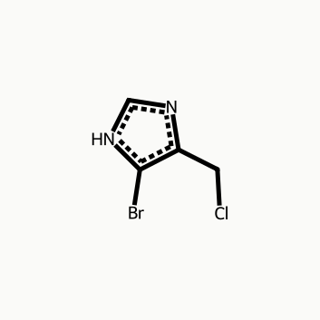 ClCc1nc[nH]c1Br